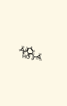 CC(c1cccc(C2(C)CC2)c1O)C1CC1